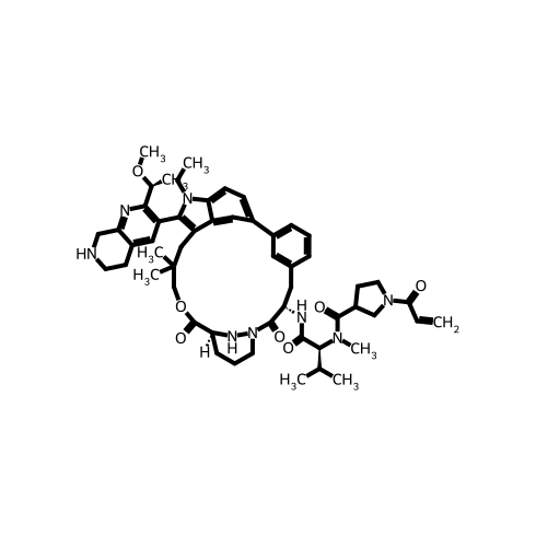 C=CC(=O)N1CCC(C(=O)N(C)[C@H](C(=O)N[C@H]2Cc3cccc(c3)-c3ccc4c(c3)c(c(-c3cc5c(nc3[C@H](C)OC)CNCC5)n4CC)CC(C)(C)COC(=O)[C@@H]3CCCN(N3)C2=O)C(C)C)C1